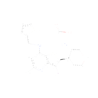 N[C@@H]1COCC[C@H]1c1sc2c(NCc3cccs3)cc(Cl)nc2c1I.O=CO